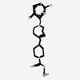 CC(C)(C)OC(=O)N1CCC(C2CCN(c3nc(Cl)ncc3F)CC2)CC1